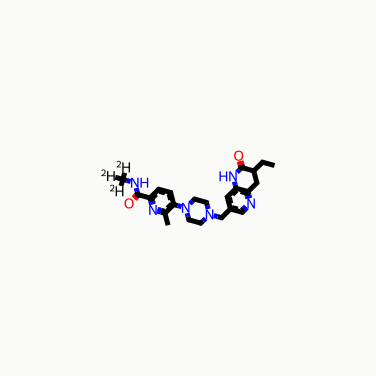 [2H]C([2H])([2H])NC(=O)c1ccc(N2CCN(Cc3cnc4c(c3)NC(=O)C(CC)C4)CC2)c(C)n1